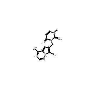 Cn1ccc(=O)n(Cc2cc3c(Cl)ncnn3c2F)c1=O